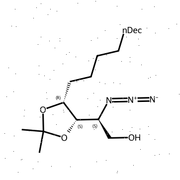 CCCCCCCCCCCCCC[C@H]1OC(C)(C)O[C@H]1[C@H](CO)N=[N+]=[N-]